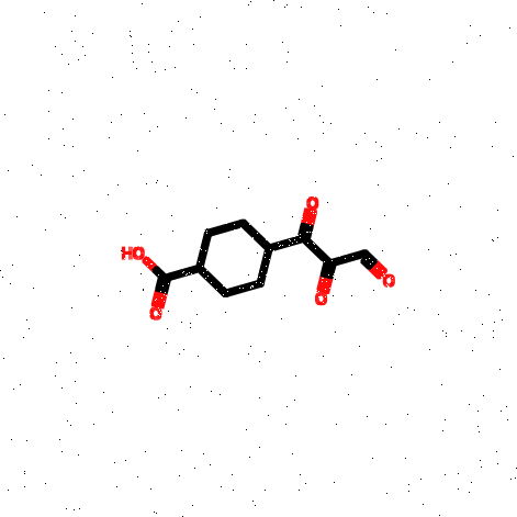 O=CC(=O)C(=O)C1CCC(C(=O)O)CC1